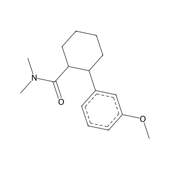 COc1cccc(C2CCCCC2C(=O)N(C)C)c1